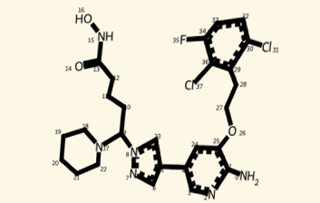 Nc1ncc(-c2cnn(C(CCCC(=O)NO)N3CCCCC3)c2)cc1OCCc1c(Cl)ccc(F)c1Cl